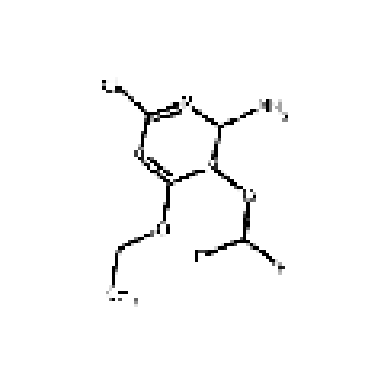 CCOC1=NC(Cl)=NC(N)N1OC(F)F